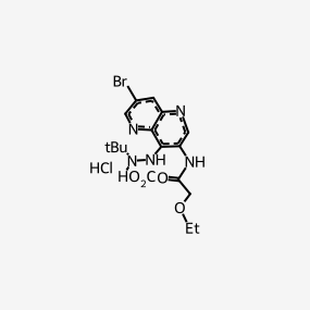 CCOCC(=O)Nc1cnc2cc(Br)cnc2c1NN(C(=O)O)C(C)(C)C.Cl